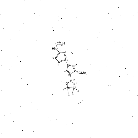 COc1nn(-c2ccc(NC(=O)O)cn2)cc1B1OC(C)(C)C(C)(C)O1